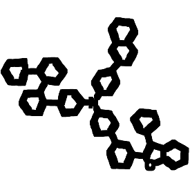 c1ccc(-c2ccccc2-c2ccccc2-c2ccc(N(c3ccc(-c4cccc(-c5oc6ccccc6c5-c5ccccc5)c4)cc3)c3ccc(-c4ccc5ccccc5c4)cc3)cc2)cc1